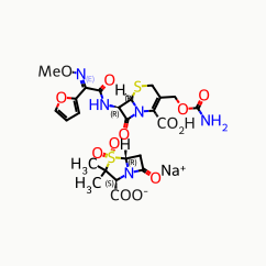 CC1(C)[C@H](C(=O)[O-])N2C(=O)C[C@H]2S1(=O)=O.CO/N=C(/C(=O)N[C@@H]1C(=O)N2C(C(=O)O)=C(COC(N)=O)CS[C@H]12)c1ccco1.[Na+]